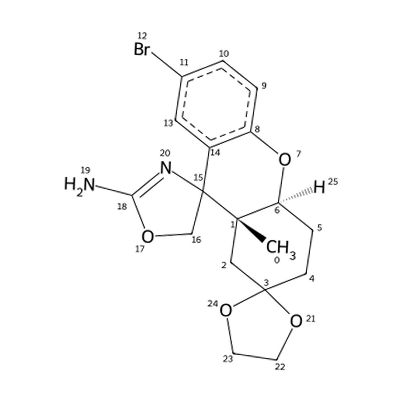 C[C@]12CC3(CC[C@@H]1Oc1ccc(Br)cc1C21COC(N)=N1)OCCO3